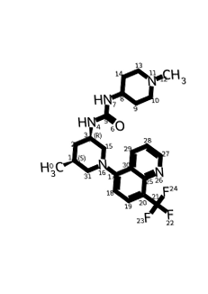 C[C@H]1C[C@@H](NC(=O)NC2CCN(C)CC2)CN(c2ccc(C(F)(F)F)c3ncccc23)C1